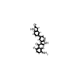 Nc1ccc(F)c(C(=O)c2c[nH]c3ncc(-c4ccc5c(c4)CC(=O)N5)cc23)c1F